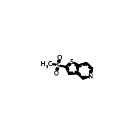 CS(=O)(=O)c1cc2cnccc2s1